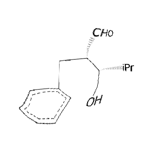 CC(C)[C@H](O)[C@@H](C=O)Cc1ccccc1